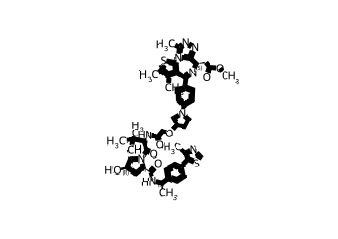 COC(=O)C[C@@H]1N=C(c2ccc(N3CCC(OCC(=O)N[C@H](C(=O)N4C[C@H](O)C[C@H]4C(=O)N[C@@H](C)c4ccc(-c5scnc5C)cc4)C(C)(C)C)C3)cc2)c2c(sc(C)c2C)-n2c(C)nnc21